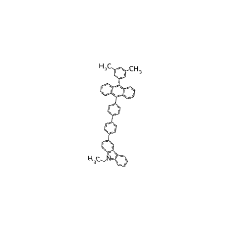 CCn1c2ccccc2c2cc(-c3ccc(-c4ccc(-c5c6ccccc6c(-c6cc(C)cc(C)c6)c6ccccc56)cc4)cc3)ccc21